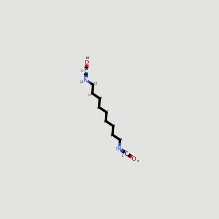 O=C=NCCCCCCCCCN=C=O